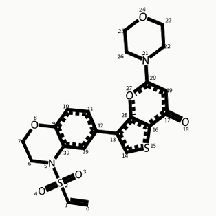 C=CS(=O)(=O)N1CCOc2ccc(-c3csc4c(=O)cc(N5CCOCC5)oc34)cc21